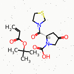 C=CC(=O)OC(C)(C)C.O=C1C[C@@H](C(=O)N2CCSC2)N(C(=O)O)C1